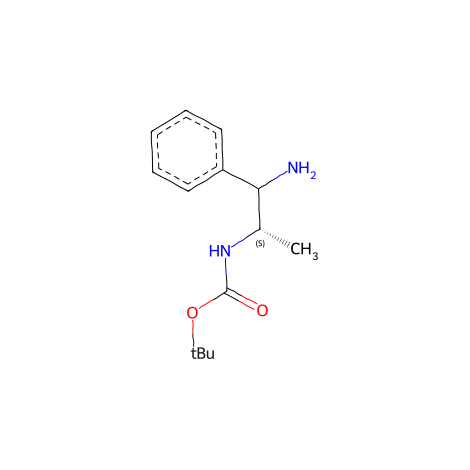 C[C@H](NC(=O)OC(C)(C)C)C(N)c1ccccc1